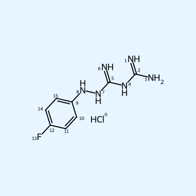 Cl.N=C(N)NC(=N)NNc1ccc(F)cc1